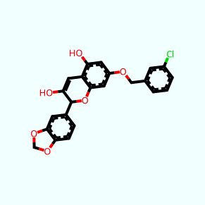 OC1=Cc2c(O)cc(OCc3cccc(Cl)c3)cc2OC1c1ccc2c(c1)OCO2